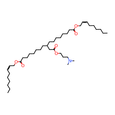 CCCCCC/C=C\COC(=O)CCCCCCCC(CCCCCCCC(=O)OC/C=C\CCCCCC)CC(=O)OCCCN(C)C